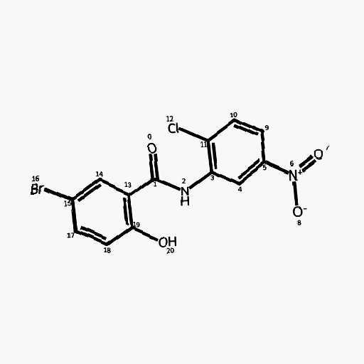 O=C(Nc1cc([N+](=O)[O-])ccc1Cl)c1cc(Br)ccc1O